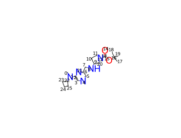 CN(c1cncc(CNC2CCN(C(=O)OC(C)(C)C)C2)n1)C1CCC1